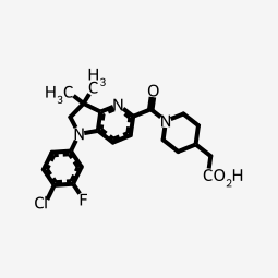 CC1(C)CN(c2ccc(Cl)c(F)c2)c2ccc(C(=O)N3CCC(CC(=O)O)CC3)nc21